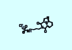 O=c1c2cccc3ncc(c(=O)n1CCCCNS(=O)(=O)CC(F)(F)F)n32